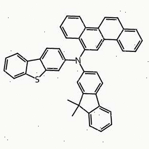 CC1(C)c2ccccc2-c2ccc(N(c3ccc4c(c3)sc3ccccc34)c3cc4c5ccccc5ccc4c4ccccc34)cc21